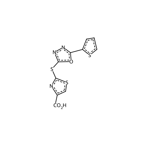 O=C(O)c1csc(Sc2nnc(-c3cccs3)o2)n1